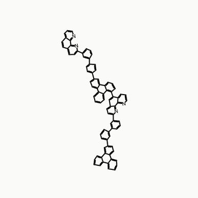 c1cc(-c2cccc(-c3ccc4cc(-c5cccc6c7cc(-c8ccc(-c9cccc(-c%10ccc%11ccc%12cccnc%12c%11n%10)c9)cc8)ccc7c7ccccc7c56)c5cccnc5c4n3)c2)cc(-c2ccc3c4ccccc4c4ccccc4c3c2)c1